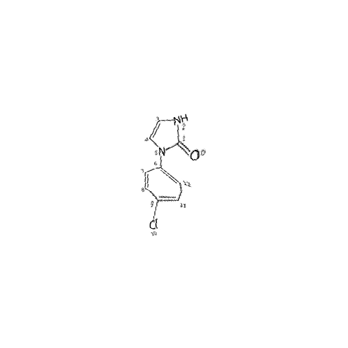 O=c1[nH]ccn1-c1ccc(Cl)cc1